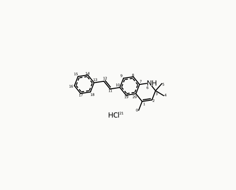 CC1=CC(C)(C)Nc2ccc(C=Cc3ccccc3)cc21.Cl